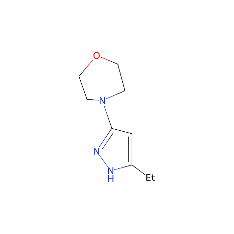 CCc1cc(N2CCOCC2)n[nH]1